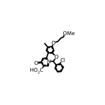 COCCCOc1cc2c(cc1C)-c1cc(=O)c(C(=O)O)cn1C(c1ccccc1Cl)O2